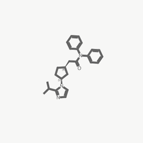 CC(C)c1nccn1[C@H]1CC[C@@H](CC(=O)N(c2ccccc2)c2ccccc2)C1